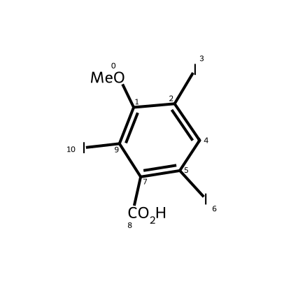 COc1c(I)cc(I)c(C(=O)O)c1I